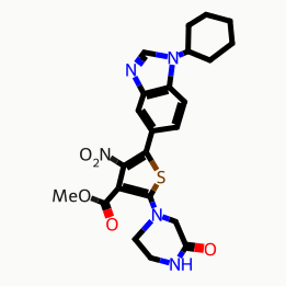 COC(=O)c1c(N2CCNC(=O)C2)sc(-c2ccc3c(c2)ncn3C2CCCCC2)c1[N+](=O)[O-]